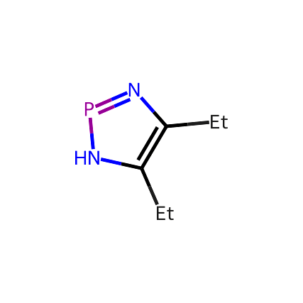 CCc1np[nH]c1CC